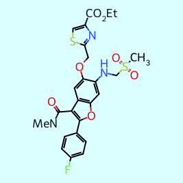 CCOC(=O)c1csc(COc2cc3c(C(=O)NC)c(-c4ccc(F)cc4)oc3cc2NCS(C)(=O)=O)n1